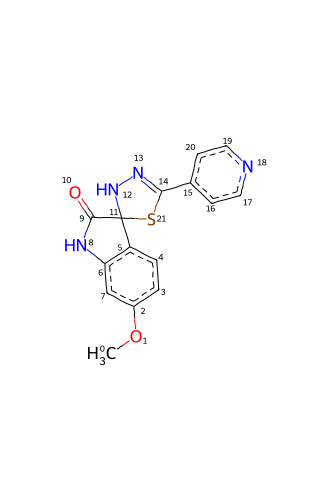 COc1ccc2c(c1)NC(=O)C21NN=C(c2ccncc2)S1